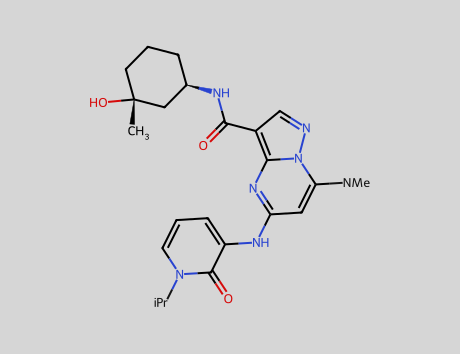 CNc1cc(Nc2cccn(C(C)C)c2=O)nc2c(C(=O)N[C@@H]3CCC[C@@](C)(O)C3)cnn12